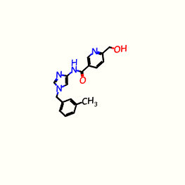 Cc1cccc(Cn2cnc(NC(=O)c3ccc(CO)nc3)c2)c1